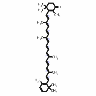 CC1=C(/C=C/C(C)=C/C=C/C(C)=C/C=C/C=C(C)/C=C/C=C(C)/C=C/C2=C(C)C(=O)CCC2(C)C)C(C)(C)CC=C1